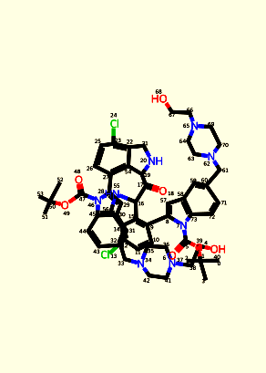 CC(C)(C)OC(=O)n1c(-c2ccc(Cl)c3c2C(C(=O)C2NCc4c(Cl)ccc(-c5cc6cc(CN7CCN(CCO)CC7)ccc6n5C(=O)OC(C)(C)C)c42)NC3)cc2cc(CN3CCN(CCO)CC3)ccc21